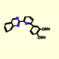 COc1ccc(-c2cccc(-c3ncc4ccccc4n3)n2)cc1OC